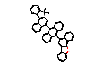 CC1(C)c2ccccc2-c2c1cc(-c1c3ccccc3c(-c3cc4c5ccccc5oc4c4ccccc34)c3ccccc13)c1ccccc21